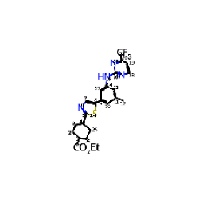 CCOC(=O)C1CCC(c2ncc(-c3cc(C)cc(Nc4nccc(C(F)(F)F)n4)c3)s2)CC1